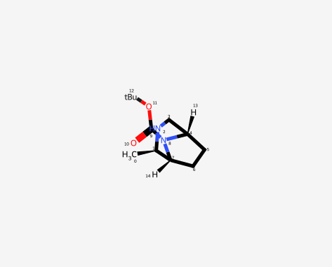 C[C@H]1NC[C@@H]2CC[C@H]1N2C(=O)OC(C)(C)C